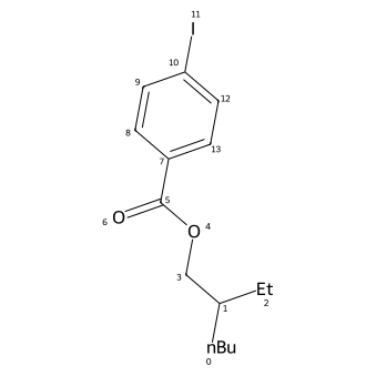 CCCCC(CC)COC(=O)c1ccc(I)cc1